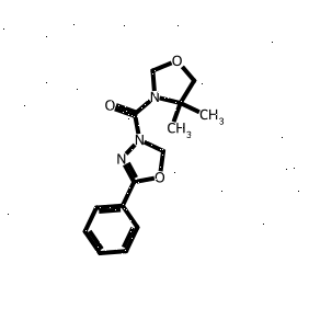 CC1(C)COCN1C(=O)N1COC(c2ccccc2)=N1